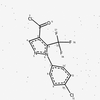 O=C(Cl)c1cnn(-c2ccc(Cl)cc2)c1C(F)(F)F